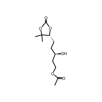 CC(=O)OCC[C@H](O)CC[C@H]1OC(=O)OC1(C)C